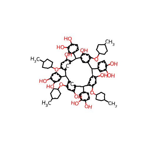 CC1CCC(Oc2cc(O)c3cc2C(c2ccc(O)c(O)c2)c2cc(c(OC4CCC(C)CC4)cc2O)C(c2ccc(O)c(O)c2)c2cc(c(OC4CCC(C)CC4)cc2O)C(c2ccc(O)c(O)c2)c2cc(c(O)cc2OC2CCC(C)CC2)C3c2ccc(O)c(O)c2)CC1